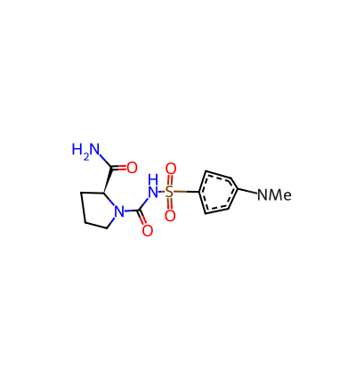 CNc1ccc(S(=O)(=O)NC(=O)N2CCC[C@H]2C(N)=O)cc1